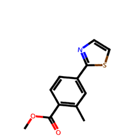 COC(=O)c1ccc(-c2nccs2)cc1C